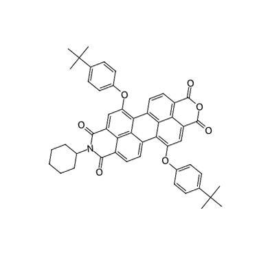 CC(C)(C)c1ccc(Oc2cc3c4c(ccc5c6c(Oc7ccc(C(C)(C)C)cc7)cc7c8c(ccc(c2c45)c86)C(=O)N(C2CCCCC2)C7=O)C(=O)OC3=O)cc1